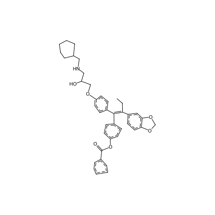 CCC(=C(c1ccc(OCC(O)CNCC2CCCCC2)cc1)c1ccc(OC(=O)c2ccccc2)cc1)c1ccc2c(c1)OCO2